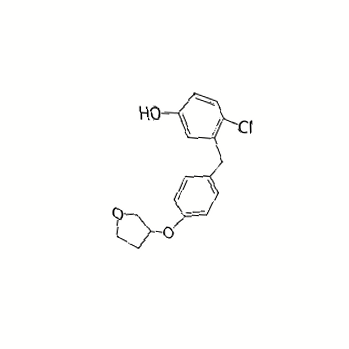 Oc1ccc(Cl)c(Cc2ccc(OC3CCOC3)cc2)c1